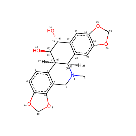 CN1Cc2c(ccc3c2OCO3)[C@H]2[C@@H](O)[C@H](O)c3cc4c(cc3[C@H]21)OCO4